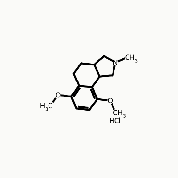 COc1ccc(OC)c2c1CCC1CN(C)CC21.Cl